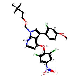 COc1ccc(-c2cn(COCC[Si](C)(C)C)c3nccc(Oc4c(F)cc([N+](=O)[O-])cc4F)c23)c(F)c1